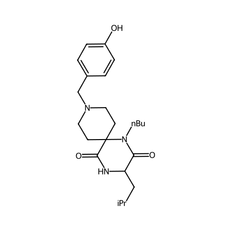 CCCCN1C(=O)C(CC(C)C)NC(=O)C12CCN(Cc1ccc(O)cc1)CC2